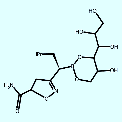 CC(C)C[C@@H](B1OCC(O)C(C(O)C(O)CO)O1)C1=NOC(C(N)=O)C1